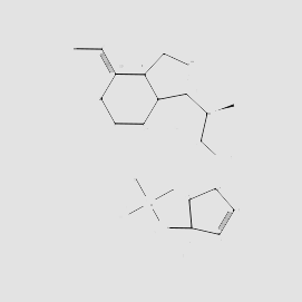 C[C@@H](CO[C@@H]1C=C[C@@](C)(O[Si](C)(C)C(C)(C)C)C1)[C@H]1CCC2C(=CI)CCC[C@@]21C